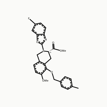 COC(=O)[C@@H]1Cc2c(ccc(OC)c2OCc2ccc(C)cc2)CN1c1nc2ccc(F)cc2o1